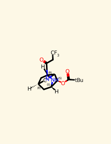 CC(C)(C)C(=O)O[C@@H]1C2[C@H]3C[C@H](C[C@@H]1N3)CN2C(=O)CC(F)(F)F